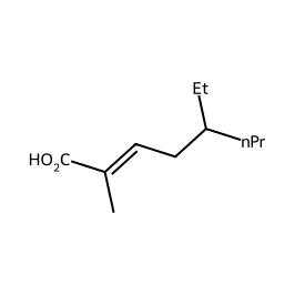 CCCC(CC)CC=C(C)C(=O)O